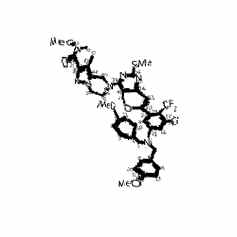 COc1ccc(CN(Cc2ccc(OC)cc2)c2cc(Cl)c(C(F)(F)F)c(C3Cc4nc(SC)nc(N5CCCn6nc(C(=O)N(C)OC)c(C)c6C5)c4CO3)c2)cc1